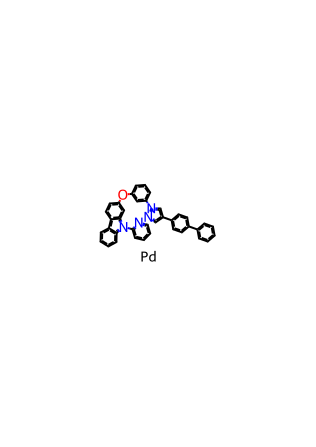 [Pd].c1ccc(-c2ccc(-c3cnn(-c4cccc(Oc5ccc6c7ccccc7n(-c7ccccn7)c6c5)c4)c3)cc2)cc1